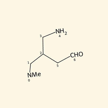 CNCC(CN)CC=O